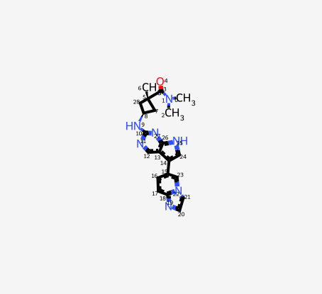 CN(C)C(=O)[C@]1(C)C[C@@H](Nc2ncc3c(-c4ccc5nccn5c4)c[nH]c3n2)C1